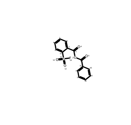 O=C(OC(=O)c1ccccc1S(=O)(=O)F)c1ccccc1